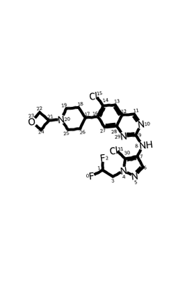 FC(F)Cn1ncc(Nc2ncc3cc(Cl)c(C4CCN(C5COC5)CC4)cc3n2)c1Cl